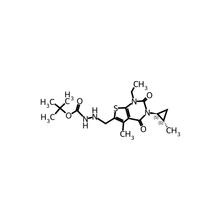 CCn1c(=O)n([C@H]2C[C@@H]2C)c(=O)c2c(C)c(CNNC(=O)OC(C)(C)C)sc21